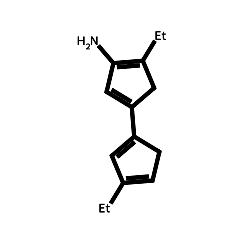 CCC1=CCC(C2=CC(N)=C(CC)C2)=C1